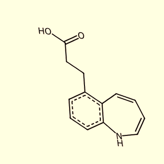 O=C(O)CCc1cccc2c1C=CC=CN2